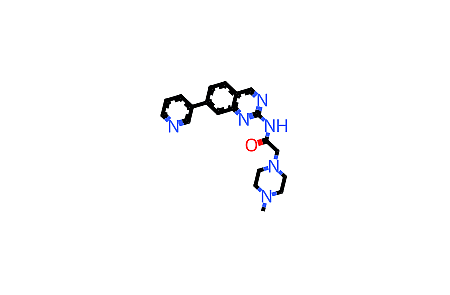 CN1CCN(CC(=O)Nc2ncc3ccc(-c4cccnc4)cc3n2)CC1